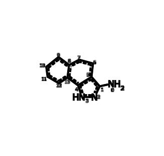 Nc1n[nH]c2c1ccc1ccccc12